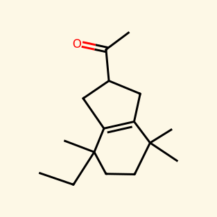 CCC1(C)CCC(C)(C)C2=C1CC(C(C)=O)C2